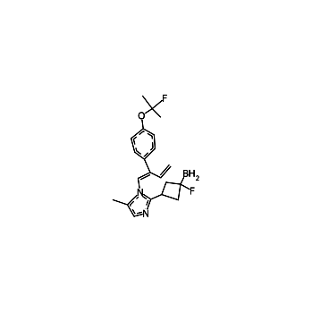 BC1(F)CC(c2ncc(C)n2/C=C(\C=C)c2ccc(OC(C)(C)F)cc2)C1